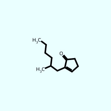 CCCCC(C)CC1=CCCC1=O